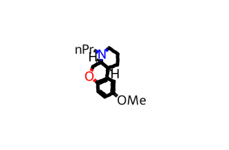 CCCN1CCC[C@H]2c3cc(OC)ccc3OC[C@@H]21